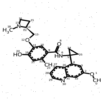 COc1cc(C2(NC(=O)c3cc(OC[C@@H]4CCN4C)c(O)cc3C)CC2)c2cccnc2c1